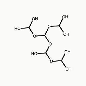 OC(O)OC(O)OC(OC(O)O)OC(O)O